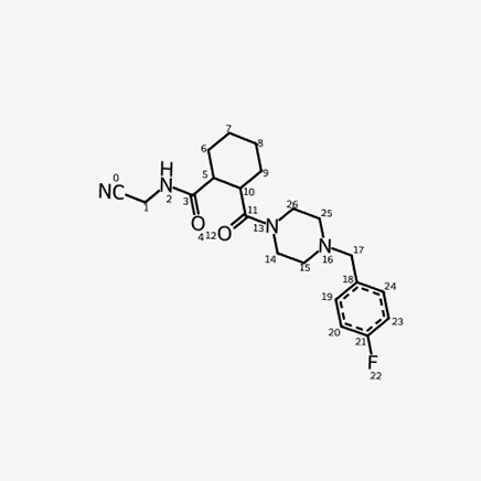 N#CCNC(=O)C1CCCCC1C(=O)N1CCN(Cc2ccc(F)cc2)CC1